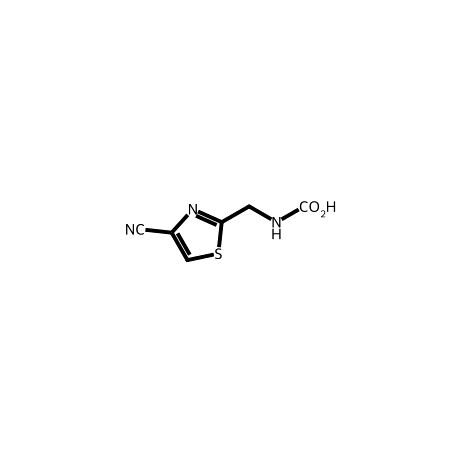 N#Cc1csc(CNC(=O)O)n1